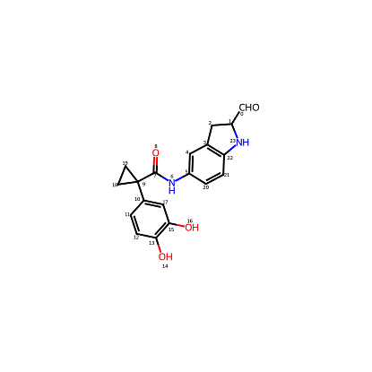 O=CC1Cc2cc(NC(=O)C3(c4ccc(O)c(O)c4)CC3)ccc2N1